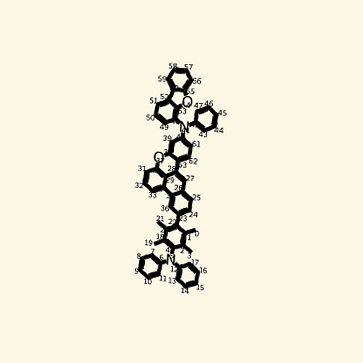 Cc1c(C)c(N(c2ccccc2)c2ccccc2)c(C)c(C)c1-c1ccc2cc3c4c(cccc4c2c1)Oc1cc(N(c2ccccc2)c2cccc4c2oc2ccccc24)ccc1-3